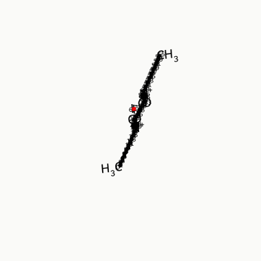 CCCCCCCCCCCCCCCCCC[n+]1ccc(C(=O)OCCCCCCOC(=O)c2cc[n+](CCCCCCCCCCCCCCCCCC)cc2)cc1.[I-].[I-]